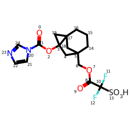 O=C(OC12CC3(COC(=O)C(F)(F)S(=O)(=O)O)CCCC1(C3)C2)n1ccnc1